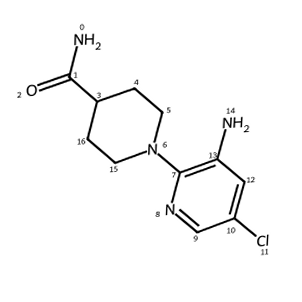 NC(=O)C1CCN(c2ncc(Cl)cc2N)CC1